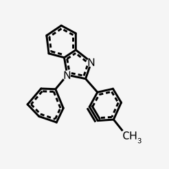 Cc1c#cc(-c2nc3ccccc3n2-c2ccccc2)cc1